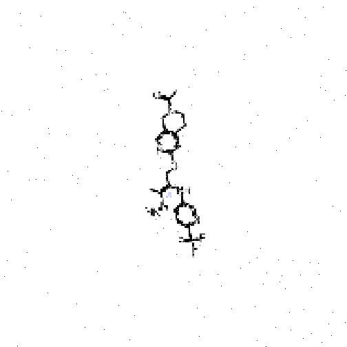 CC(=O)N1CCc2cc(OC/C(Nc3ccc(C(F)(F)F)nc3)=C(\C)N=N)ncc2C1